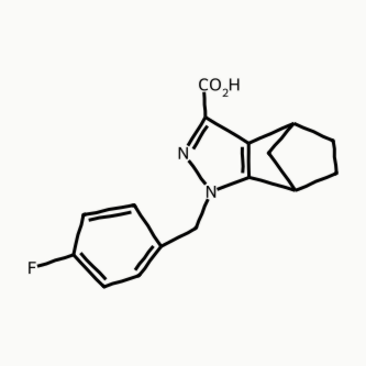 O=C(O)c1nn(Cc2ccc(F)cc2)c2c1C1CCC2C1